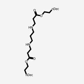 CCCCCCCCCCCCOC(=O)CCNCCCNCCC(=O)OCCCCCCCCCCCC